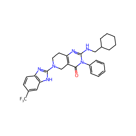 O=c1c2c(nc(NCC3CCCCC3)n1-c1ccccc1)CCN(c1nc3ccc(C(F)(F)F)cc3[nH]1)C2